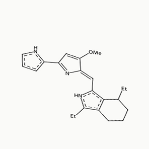 CCc1[nH]c(C=C2N=C(c3ccc[nH]3)C=C2OC)c2c1CCCC2CC